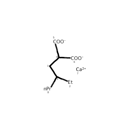 CCCC(CC)CC(C(=O)[O-])C(=O)[O-].[Ca+2]